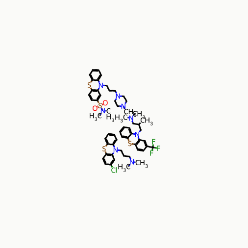 CC(CN(C)C)CN1c2ccccc2Sc2ccc(C(F)(F)F)cc21.CN(C)CCCN1c2ccccc2Sc2ccc(Cl)cc21.CN1CCN(CCCN2c3ccccc3Sc3ccc(S(=O)(=O)N(C)C)cc32)CC1